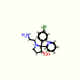 NCCN1CCC(O)C1(c1ccc(Br)cc1)c1ccccn1